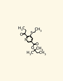 CCSc1cc(C(=O)OC(C)(C)CC)cnc1C(=O)CC